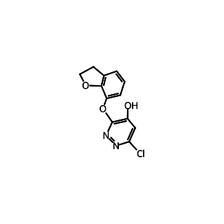 Oc1cc(Cl)nnc1Oc1cccc2c1OCC2